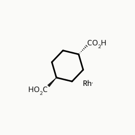 O=C(O)[C@H]1CC[C@H](C(=O)O)CC1.[Rh]